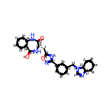 O=C1N[C@@H](Cc2nc(-c3cccc(Cn4cnc5ccccc54)c3)no2)C(=O)Nc2ccccc21